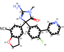 CN1C(=O)C(c2cc(C#N)c3c(c2)CCO3)(c2ccc(F)c(-c3cccnc3)c2)N=C1N